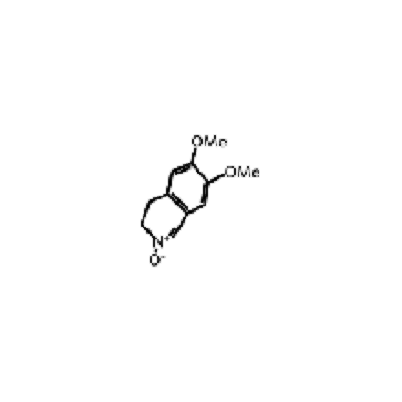 COc1cc2c(cc1OC)CC[N+]([O-])=C2